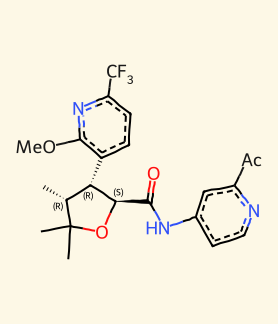 COc1nc(C(F)(F)F)ccc1[C@@H]1[C@@H](C(=O)Nc2ccnc(C(C)=O)c2)OC(C)(C)[C@@H]1C